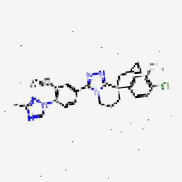 COc1cc(-c2nnc3n2CCCC3(CC2CC2)c2ccc(Cl)c(C(F)(F)F)c2)ccc1-n1cnc(C)n1